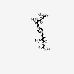 CCCCC(CC)COC(=O)/C(N)=C(C)/C=C/N1CCN(/C=C/C(C)=C(/N)C(=O)OCC(CC)CCCC)CC1